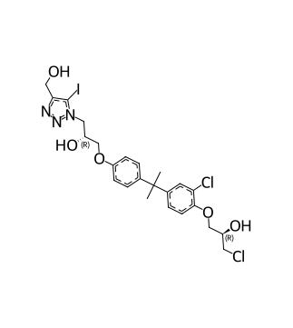 CC(C)(c1ccc(OC[C@H](O)Cn2nnc(CO)c2I)cc1)c1ccc(OC[C@@H](O)CCl)c(Cl)c1